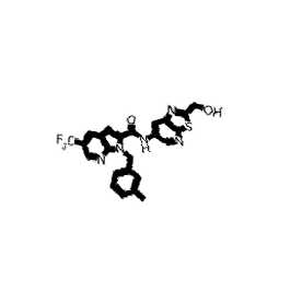 Cc1cccc(Cn2c(C(=O)Nc3cnc4sc(CO)nc4c3)cc3cc(C(F)(F)F)cnc32)c1